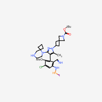 COc1c(Cl)cc(NPI)c(C=N)c1-c1c(N2CCNCC23CCC3)nn(C2CC3(C2)CN(C(=O)OC(C)(C)C)C3)c1C